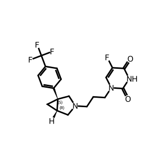 O=c1[nH]c(=O)n(CCCN2C[C@@H]3C[C@]3(c3ccc(C(F)(F)F)cc3)C2)cc1F